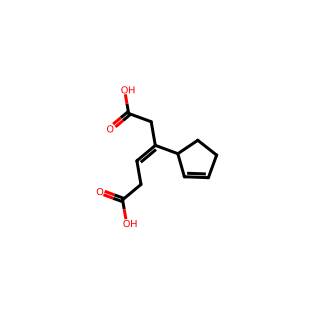 O=C(O)C/C=C(/CC(=O)O)C1C=CCC1